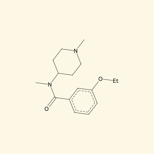 CCOc1cccc(C(=O)N(C)C2CCN(C)CC2)c1